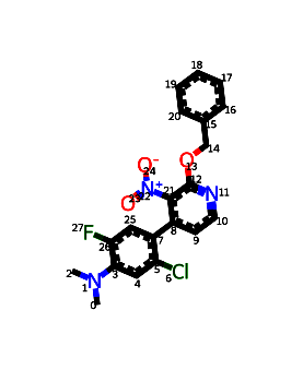 CN(C)c1cc(Cl)c(-c2ccnc(OCc3ccccc3)c2[N+](=O)[O-])cc1F